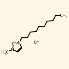 CCCCCCCCCCN1[C+]N(C)C=C1.[Br-]